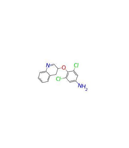 Nc1cc(Cl)c(OC2C=Nc3ccccc3C2)c(Cl)c1